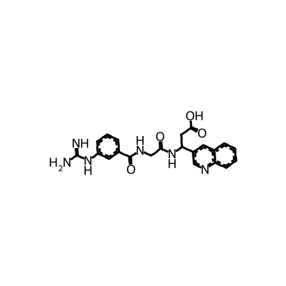 N=C(N)Nc1cccc(C(=O)NCC(=O)NC(CC(=O)O)c2cnc3ccccc3c2)c1